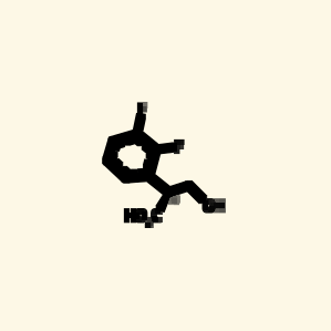 O=C(O)[C@H](CO)c1cccc(F)c1F